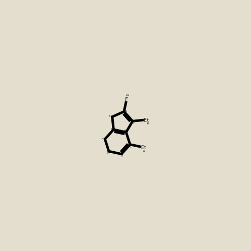 CCC1=CCCC2=C1C(CC)=C(F)C2